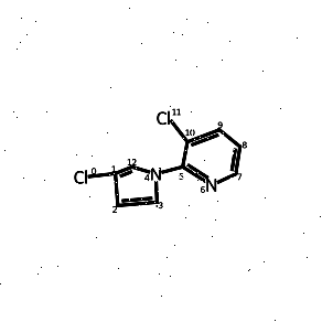 Clc1c[c]n(-c2ncccc2Cl)c1